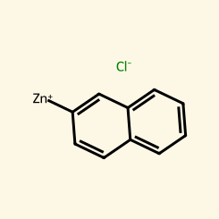 [Cl-].[Zn+][c]1ccc2ccccc2c1